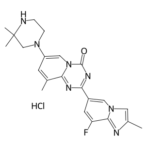 Cc1cn2cc(-c3nc(=O)n4cc(N5CCNC(C)(C)C5)cc(C)c4n3)cc(F)c2n1.Cl